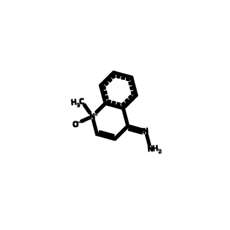 C[N+]1([O-])C=CC(=NN)c2ccccc21